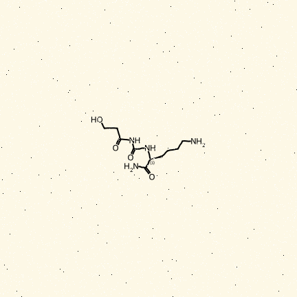 NCCCC[C@H](NC(=O)NC(=O)CCO)C(N)=O